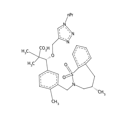 CCCn1cc(CO[C@H](c2ccc(C)c(CN3C[C@@H](C)Cc4ccccc4S3(=O)=O)c2)C(C)(C)C(=O)O)nn1